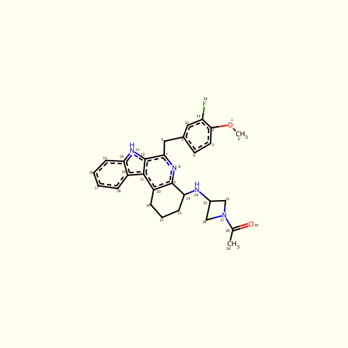 COc1ccc(Cc2nc3c(c4c2[nH]c2ccccc24)CCCC3NC2CN(C(C)=O)C2)cc1F